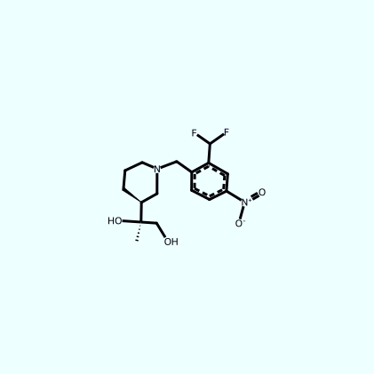 C[C@@](O)(CO)[C@H]1CCCN(Cc2ccc([N+](=O)[O-])cc2C(F)F)C1